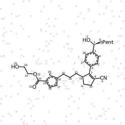 CCCCC[C@H](O)c1ccc(C2=C(C#N)CCC2CCCc2ccc(C(=O)OCCO)s2)cc1